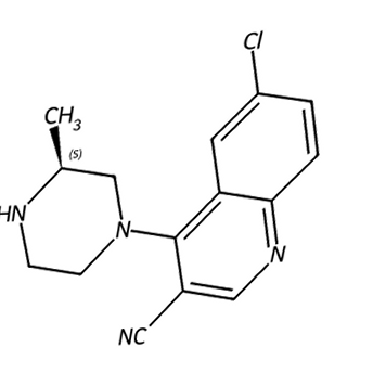 C[C@H]1CN(c2c(C#N)cnc3ccc(Cl)cc23)CCN1